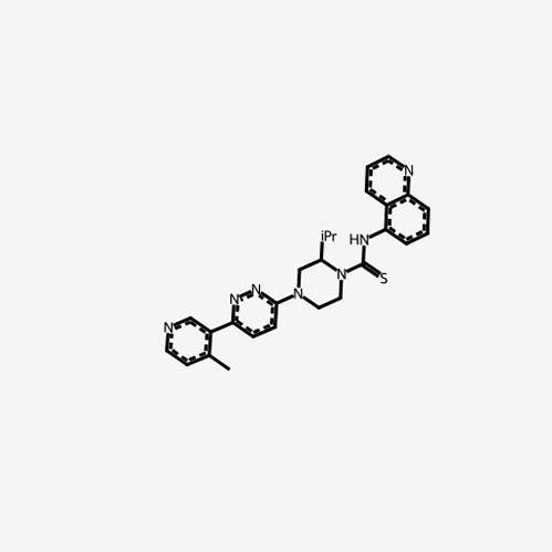 Cc1ccncc1-c1ccc(N2CCN(C(=S)Nc3cccc4ncccc34)C(C(C)C)C2)nn1